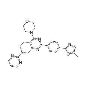 Cc1nnc(-c2ccc(-c3nc4c(c(N5CCOCC5)n3)CCN(c3ncccn3)C4)cc2)o1